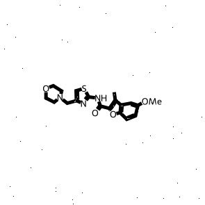 COc1ccc2oc(C(=O)Nc3nc(CN4CCOCC4)cs3)c(C)c2c1